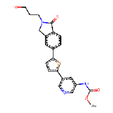 CC(C)(C)OC(=O)Nc1cncc(-c2ccc(-c3ccc4c(c3)CN(CCCO)C4=O)s2)c1